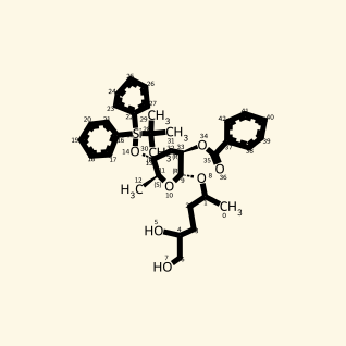 CC(CCC(O)CO)O[C@@H]1O[C@@H](C)[C@H](O[Si](c2ccccc2)(c2ccccc2)C(C)(C)C)C[C@H]1OC(=O)c1ccccc1